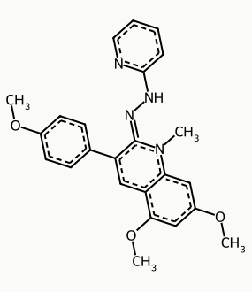 COc1ccc(-c2cc3c(OC)cc(OC)cc3n(C)c2=NNc2ccccn2)cc1